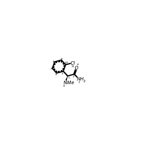 CN[C@H](C(N)=O)c1ccccc1Cl